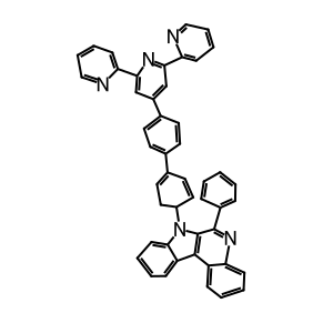 C1=CC(n2c3ccccc3c3c4ccccc4nc(-c4ccccc4)c32)CC=C1c1ccc(-c2cc(-c3ccccn3)nc(-c3ccccn3)c2)cc1